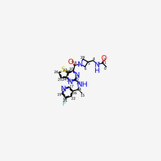 CC(=O)NCC1CN(C(=O)c2nc(N[C@@H](C)c3cncc(F)c3)nc3ccsc23)C1